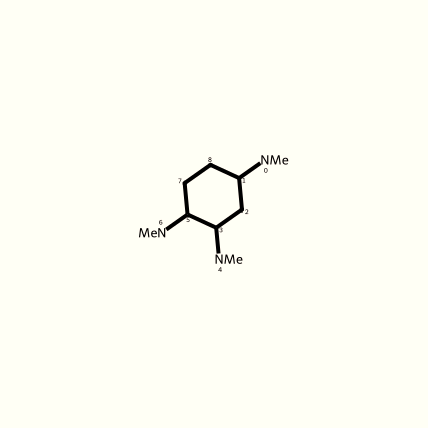 CNC1[CH]C(NC)C(NC)CC1